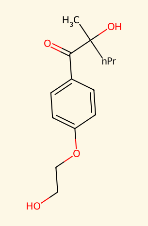 CCCC(C)(O)C(=O)c1ccc(OCCO)cc1